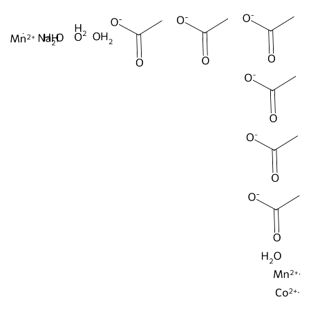 CC(=O)[O-].CC(=O)[O-].CC(=O)[O-].CC(=O)[O-].CC(=O)[O-].CC(=O)[O-].O.O.O.O.[Co+2].[Mn+2].[Mn+2].[NaH]